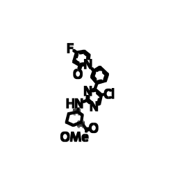 COC(=O)[C@H]1CCC[C@@H](Nc2ncc(Cl)c(-c3cccc(-n4ccc(F)cc4=O)c3)n2)C1